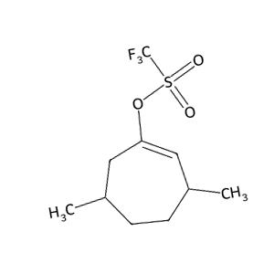 CC1C=C(OS(=O)(=O)C(F)(F)F)CC(C)CC1